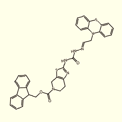 O=C(NN=CCN1c2ccccc2Sc2ccccc21)Nc1nc2c(s1)CN(C(=O)OCC1c3ccccc3-c3ccccc31)CC2